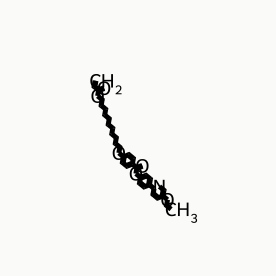 C=CC(=O)OCCCCCCCCCCCOc1ccc(C(=O)Oc2ccc(-c3ccc(OCC)cn3)cc2)cc1